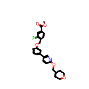 COC(=O)c1ccc(COc2cccc(-c3ccc(OCC4CCOCC4)nc3)c2)c(F)c1